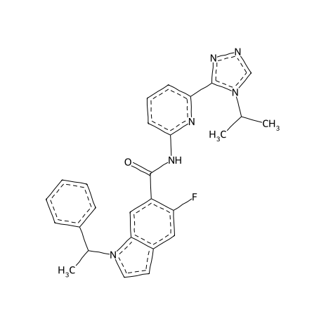 CC(C)n1cnnc1-c1cccc(NC(=O)c2cc3c(ccn3C(C)c3ccccc3)cc2F)n1